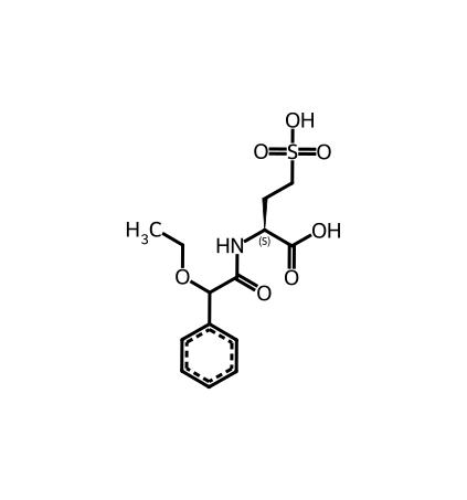 CCOC(C(=O)N[C@@H](CCS(=O)(=O)O)C(=O)O)c1ccccc1